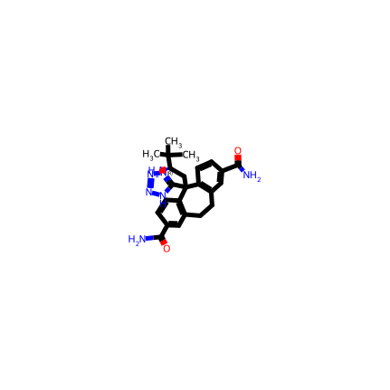 CC(C)(C)[C@H](N)CC1(c2nnn[nH]2)c2ccc(C(N)=O)cc2CCc2cc(C(N)=O)ccc21